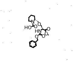 COC(=O)[C@H](COC[C@H]1CCCCN1C(=O)O)NC(=O)OCc1ccccc1